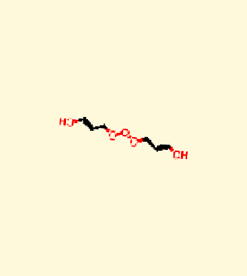 OC=CCOOOCC=CO